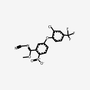 COC(=NC#N)c1cc(Oc2ccc(C(F)(F)F)cc2Cl)ccc1[N+](=O)[O-]